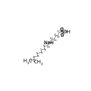 CC(C)CCCCCCCCCCCCCCCS(=O)(=O)O.[NaH]